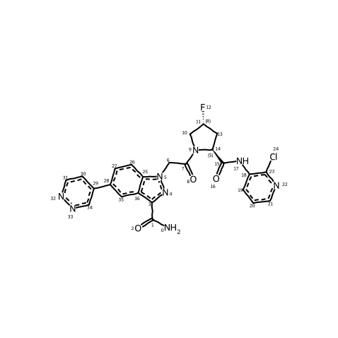 NC(=O)c1nn(CC(=O)N2C[C@H](F)C[C@H]2C(=O)Nc2cccnc2Cl)c2ccc(-c3ccnnc3)cc12